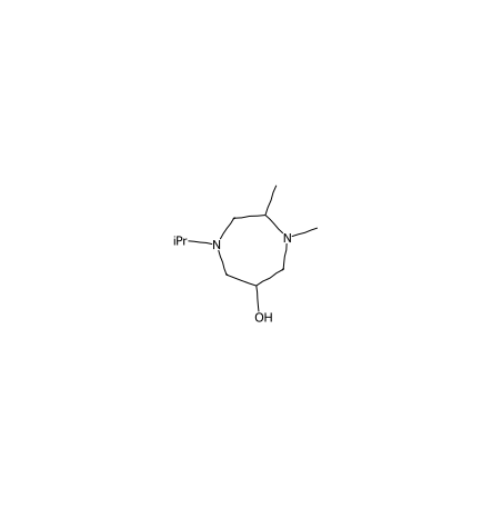 CC1CN(C(C)C)CC(O)CN1C